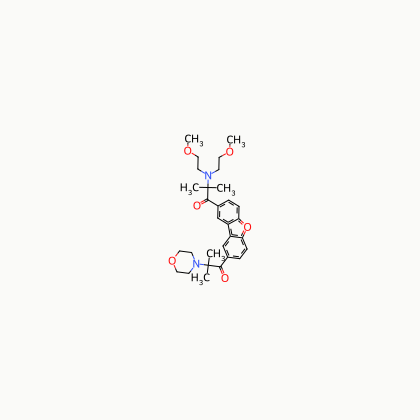 COCCN(CCOC)C(C)(C)C(=O)c1ccc2oc3ccc(C(=O)C(C)(C)N4CCOCC4)cc3c2c1